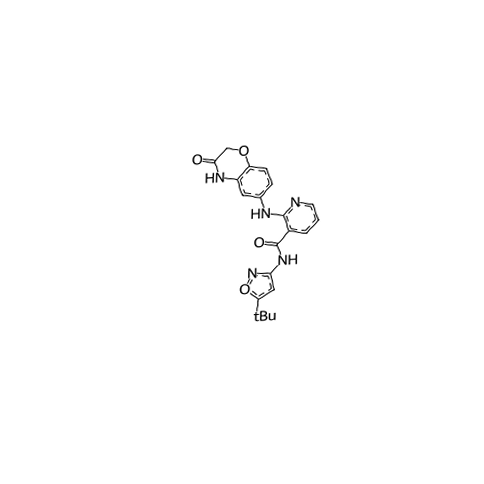 CC(C)(C)c1cc(NC(=O)c2cccnc2Nc2ccc3c(c2)NC(=O)CO3)no1